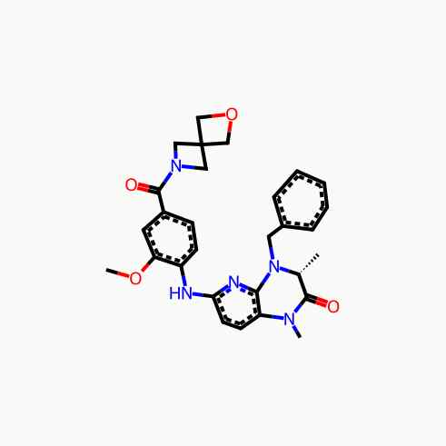 COc1cc(C(=O)N2CC3(COC3)C2)ccc1Nc1ccc2c(n1)N(Cc1ccccc1)[C@H](C)C(=O)N2C